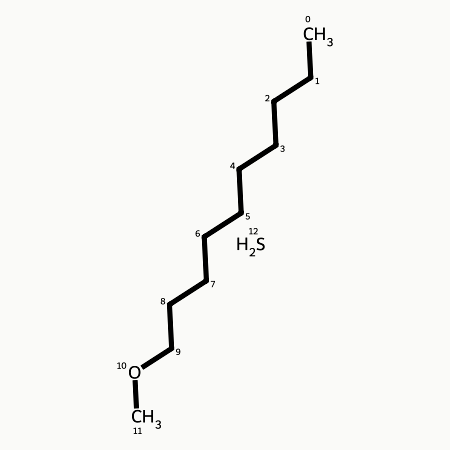 CCCCCCCCCCOC.S